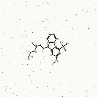 COc1cc(C(F)(F)F)c2c3ccncc3n(CCN(C)CCO)c2c1